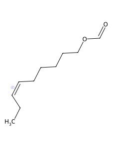 CC/C=C\CCCCCOC=O